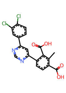 Cc1c(C(=O)O)ccc(-c2cc(-c3ccc(Cl)c(Cl)c3)ncn2)c1C(=O)O